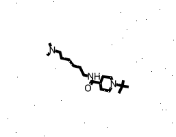 CN(C)CCCCCCNC(=O)C1CCN(C(C)(C)C)CC1